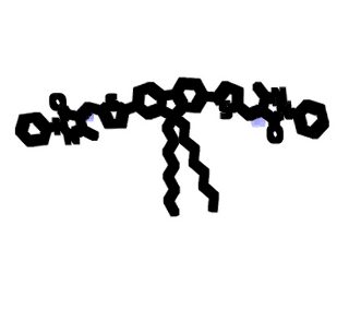 CCCCCCCCC1(CCCCCCCC)c2cc(-c3ccc(/C=C4/C(=O)N(c5ccccc5)N=C4C)s3)ccc2-c2ccc(-c3ccc(/C=C4/C(=O)N(c5ccccc5)N=C4C)s3)cc21